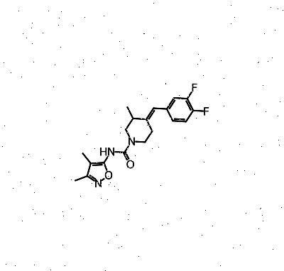 Cc1noc(NC(=O)N2CC/C(=C\c3ccc(F)c(F)c3)C(C)C2)c1C